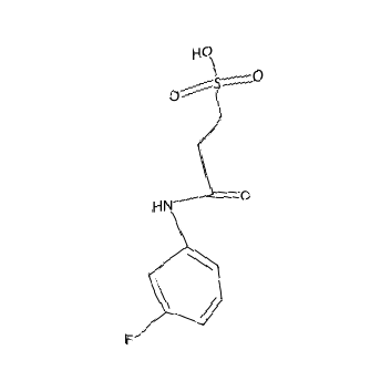 O=C(CCS(=O)(=O)O)Nc1cccc(F)c1